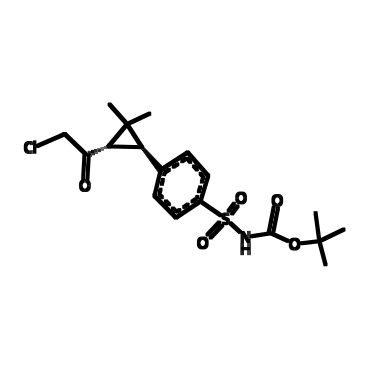 CC(C)(C)OC(=O)NS(=O)(=O)c1ccc([C@H]2[C@H](C(=O)CCl)C2(C)C)cc1